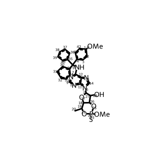 COc1ccc(C(Nc2ncnc3c2ncn3C2OC3C(C)OP(=S)(OC)OC3C2O)(c2ccccc2)c2ccccc2)cc1